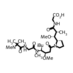 CC[C@H](C)[C@@H]([C@@H](CC(=O)N1CCC[C@H]1[C@H](OC)[C@@H](C)C(=O)NCC(=O)O)OC)N(C)C(=O)CNC(=O)C(C)(C)NC